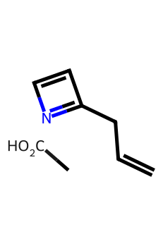 C=CCC1=NC=C1.CC(=O)O